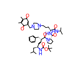 CC1=C(C)C(=O)C(CN2CCN(CCC[C@H](NC(=O)[C@@H]3CCCN3C(=O)[C@H](/C=C/[C@H](CC(C)C)NC(=O)OC(C)(C)C)Cc3ccccc3)C(=O)NC(C)C)CC2)=CC1=O